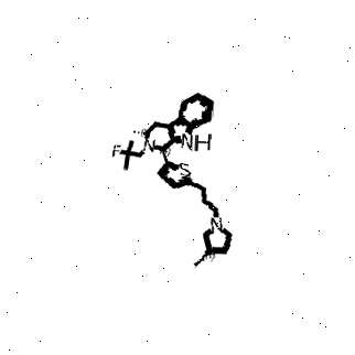 C[C@@H]1CCN(CCCc2ccc([C@@H]3c4[nH]c5ccccc5c4C[C@@H](C)N3CC(C)(C)F)s2)C1